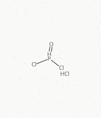 Cl.O=[PH](Cl)Cl